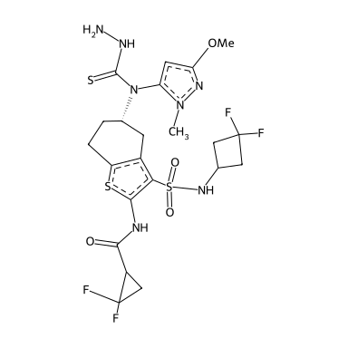 COc1cc(N(C(=S)NN)[C@H]2CCc3sc(NC(=O)C4CC4(F)F)c(S(=O)(=O)NC4CC(F)(F)C4)c3C2)n(C)n1